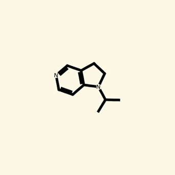 CC(C)N1CCc2cnccc21